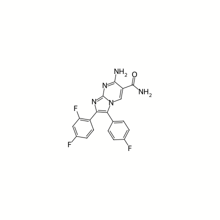 NC(=O)c1cn2c(-c3ccc(F)cc3)c(-c3ccc(F)cc3F)nc2nc1N